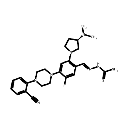 CN(C)[C@@H]1CCN(c2cc(N3CCN(c4ccccc4C#N)CC3)c(F)cc2/C=N/NC(N)=S)C1